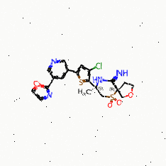 C[C@@]1(c2sc(-c3cncc(-c4ncco4)c3)cc2Cl)CS(=O)(=O)[C@]2(CCOC2)C(=N)N1